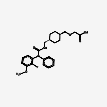 COc1cccc(N(C(=O)NC[C@H]2CC[C@H](COCC(=O)O)CC2)c2ccccc2)c1F